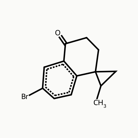 CC1CC12CCC(=O)c1cc(Br)ccc12